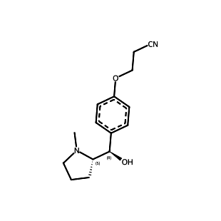 CN1CCC[C@H]1[C@H](O)c1ccc(OCCC#N)cc1